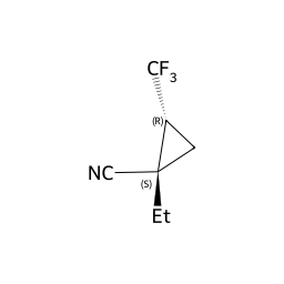 CC[C@]1(C#N)C[C@H]1C(F)(F)F